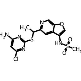 CC(Sc1nc(N)cc(Cl)n1)c1cc2c(NS(C)(=O)=O)coc2cn1